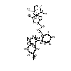 CC(C)[Si](OCCSc1ccccc1-c1nnc2ccc(F)cn12)(C(C)C)C(C)C